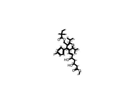 CCC(C)(C)C(=O)OCc1c(C(C)C)nc(C(C)C)c(C=CC(O)CC(O)CC(=O)OC)c1-c1ccc(F)cc1